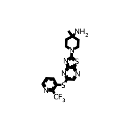 CC1(N)CCN(c2nc3nc(Sc4cccnc4C(F)(F)F)cnc3s2)CC1